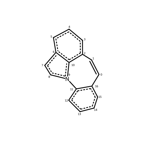 C1=Cc2cccc3ccn(c23)-c2ccccc21